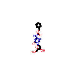 O=C(NC1=NC(=O)N(C2CC(O)C(CO)O2)CN1)OCc1ccccc1